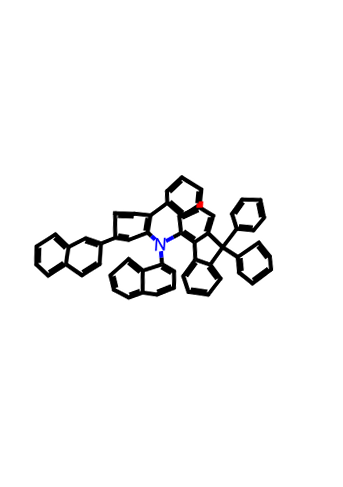 c1ccc(-c2ccc(-c3ccc4ccccc4c3)cc2N(c2cccc3c2-c2ccccc2C3(c2ccccc2)c2ccccc2)c2cccc3ccccc23)cc1